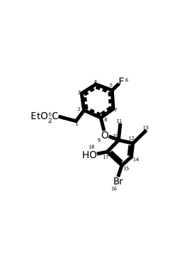 CCOC(=O)Cc1ccc(F)cc1OC1(C)C(C)=CC(Br)=C1O